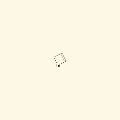 C1=C[Te]C1